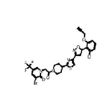 C#CCOc1cccc(Cl)c1C1CC(c2csc(C3CCN(C(=O)Cn4cc(C(F)(F)F)cc(Br)c4=O)CC3)n2)=NO1